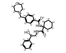 O=C(NC1(C(=O)NCC(O)c2ccccc2)CCCCC1)c1ccc(CN2CCOCC2)cc1